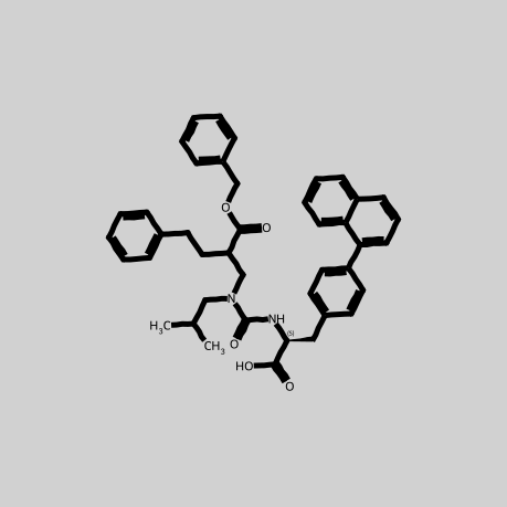 CC(C)CN(CC(CCc1ccccc1)C(=O)OCc1ccccc1)C(=O)N[C@@H](Cc1ccc(-c2cccc3ccccc23)cc1)C(=O)O